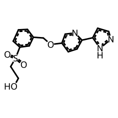 O=S(=O)(CCO)c1cccc(COc2ccc(-c3ccn[nH]3)nc2)c1